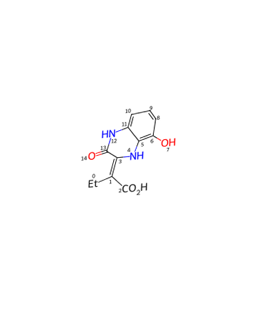 CC/C(C(=O)O)=C1/Nc2c(O)cccc2NC1=O